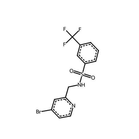 O=S(=O)(NCc1cc(Br)ccn1)c1cccc(C(F)(F)F)c1